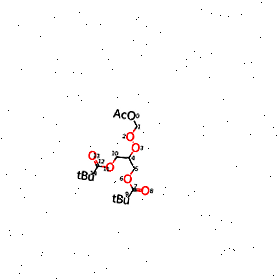 CC(=O)OCOOC(COC(=O)C(C)(C)C)COC(=O)C(C)(C)C